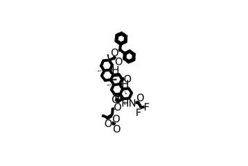 Cc1oc(=O)oc1COC(=O)[C@]1(C)[C@@H](NC(=O)C(F)F)CC[C@@]2(C)[C@H]1CC[C@]1(C)[C@@H]2C(=O)C=C2[C@@H]3C[C@@](C)(C(=O)OC(c4ccccc4)c4ccccc4)CC[C@]3(C)CC[C@]21C